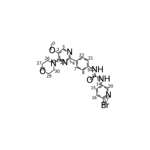 COc1cnc(-c2ccc(NC(=O)Nc3ccc(Br)nc3)cc2)nc1N1CCOCC1